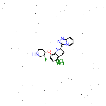 Cl.Cl.F[C@@H]1CNCC[C@@H]1Oc1cccc2ccc(-c3nnc4ccccn34)nc12